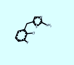 Nc1ncc(Cc2cccc(F)c2Cl)s1